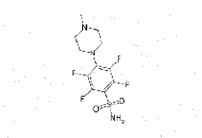 CN1CCN(c2c(F)c(F)c(S(N)(=O)=O)c(F)c2F)CC1